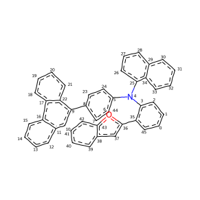 c1ccc(N(c2ccc(-c3cc4ccccc4c4ccccc34)cc2)c2cccc3ccccc23)c(-c2cc3ccccc3o2)c1